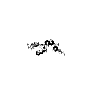 COc1cncc(Nc2cnc3ccc(N(COCC[Si](C)(C)C)c4nnc(CC5CCCO5)s4)nc3c2)c1